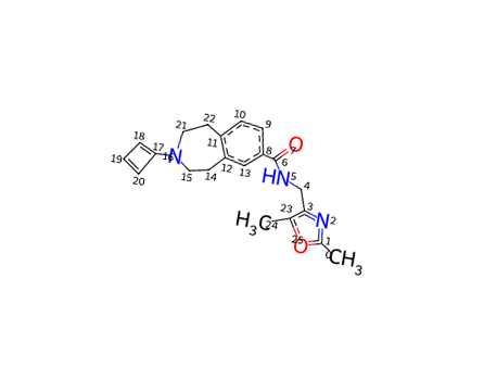 Cc1nc(CNC(=O)c2ccc3c(c2)CCN(C2=CC=C2)CC3)c(C)o1